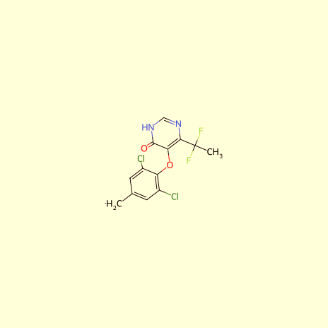 [CH2]c1cc(Cl)c(Oc2c(C(C)(F)F)nc[nH]c2=O)c(Cl)c1